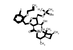 C=CCOc1c(I)cccc1CN1O[C@@H](CO[Si](C)(C)C(C)(C)C)[C@@H]([C@H](C)O)[C@H]1C(=O)NC[C@@H](C)[C@@H]1C[C@H](C)C1(C)C